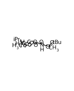 CC(C)CCCC(C)C1CCC2C3CC=C4CC(OC(=O)CCC(=O)NCCCOC(C)CCOC(C)(C)C)CCC4(C)C3CCC12C